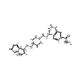 NC(=O)c1ccc2c(c1)CCOC2CCN1CCC(CCc2c[nH]c3ccccc23)CC1